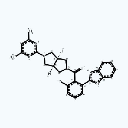 Cc1cc(C)nc(N2C[C@H]3CN(C(=O)c4c(F)cccc4-c4nc5ccccc5s4)C[C@H]3C2)n1